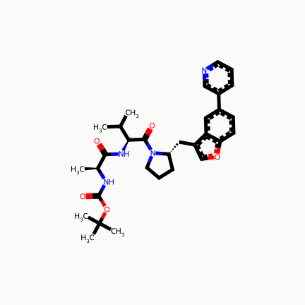 CC(C)[C@H](NC(=O)[C@H](C)NC(=O)OC(C)(C)C)C(=O)N1CCC[C@H]1Cc1coc2ccc(-c3cccnc3)cc12